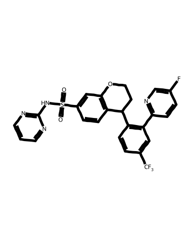 O=S(=O)(Nc1ncccn1)c1ccc2c(c1)OCCC2c1ccc(C(F)(F)F)cc1-c1ccc(F)cn1